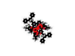 N#Cc1ccccc1-c1cc(-c2nc(-c3ccccc3)cc(-c3ccccc3)n2)cc(-c2cccc(-c3cccc(-c4cc(-c5nc(-c6ccccc6)cc(-c6ccccc6)n5)cc(-c5ccccc5C#N)c4-n4c5ccc(-c6ccc(C(F)(F)F)cc6C(F)(F)F)cc5c5cc(-c6ccc(C(F)(F)F)cc6C(F)(F)F)ccc54)c3C#N)c2C#N)c1-n1c2ccccc2c2cc(-c3ccc(C(F)(F)F)cc3C(F)(F)F)ccc21